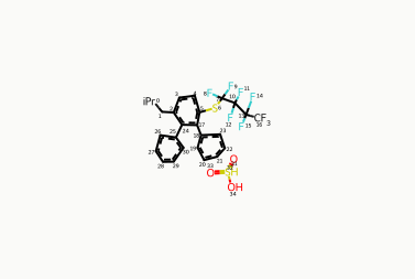 CC(C)Cc1ccc(SC(F)(F)C(F)(F)C(F)(F)C(F)(F)F)c(-c2ccccc2)c1-c1ccccc1.O=[SH](=O)O